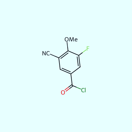 COc1c(F)cc(C(=O)Cl)cc1C#N